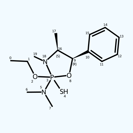 CCOP1(S)(N(C)C)O[C@H](c2ccccc2)[C@H](C)N1C